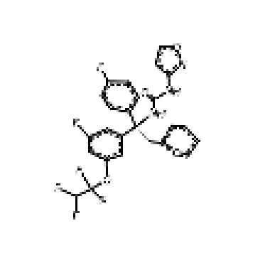 O=C(Nc1ccon1)N[C@](Cc1ccccc1)(c1ccc(F)cc1)c1cc(F)cc(OC(F)(F)C(F)F)c1